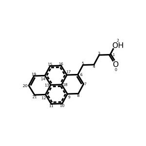 O=C(O)CCCC1=CCc2ccc3c4c(ccc1c24)C=CC3